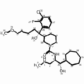 CNC[C@@H](NC(=O)N1CCCC([C@@](O)(CCCCOC)c2cccc(Cl)c2F)C1)[C@@H](O)C1CCCCCC1